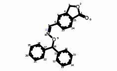 O=C1OCc2cc(/C=N\OC(c3ccccc3)c3ccccc3)ccc21